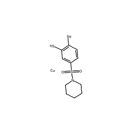 O=S(=O)(c1ccc(S)c(S)c1)N1CCCCC1.[Cu]